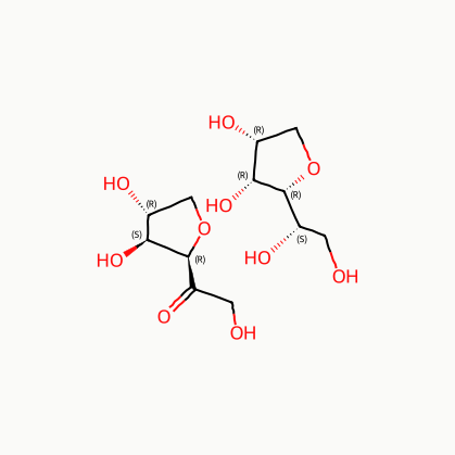 O=C(CO)[C@@H]1OC[C@@H](O)[C@@H]1O.OC[C@H](O)[C@H]1OC[C@@H](O)[C@H]1O